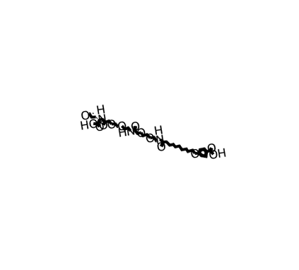 O=[C]CC[C@H](NC(=O)COCCOCCNC(=O)COCCOCCNC(=O)CCCCCCCCCOc1ccc(C(=O)O)cc1)C(=O)O